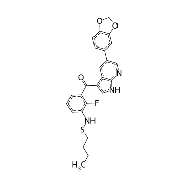 CCCCSNc1cccc(C(=O)c2c[nH]c3ncc(-c4ccc5c(c4)OCO5)cc23)c1F